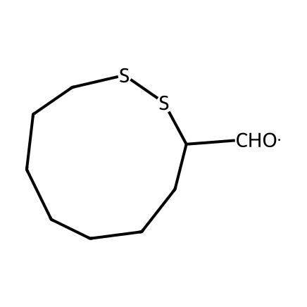 O=[C]C1CCCCCCCSS1